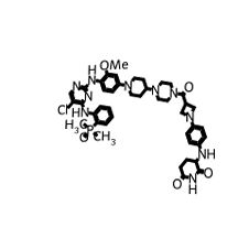 COc1cc(N2CCC(N3CCN(C(=O)C4CN(c5ccc(NC6CCC(=O)NC6=O)cc5)C4)CC3)CC2)ccc1Nc1ncc(Cl)c(Nc2ccccc2P(C)(C)=O)n1